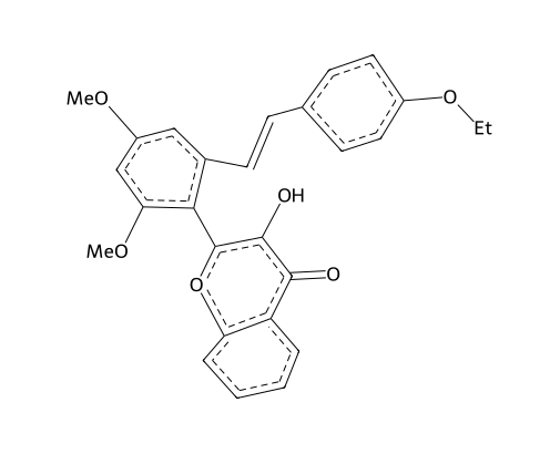 CCOc1ccc(/C=C/c2cc(OC)cc(OC)c2-c2oc3ccccc3c(=O)c2O)cc1